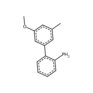 COc1cc(C)cc(-c2ccccc2P)c1